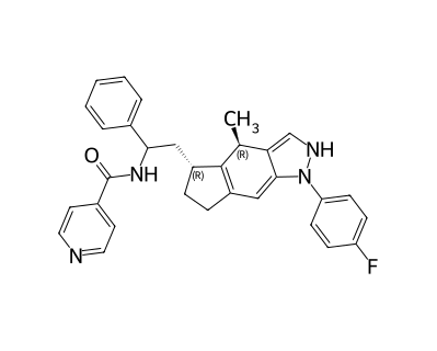 C[C@H]1C2=CNN(c3ccc(F)cc3)C2=CC2=C1[C@@H](CC(NC(=O)c1ccncc1)c1ccccc1)CC2